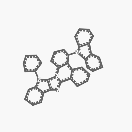 c1ccc(-n2c3ccccc3c3nc4c5ccccc5c5c(-n6c7ccccc7c7ccccc76)cccc5n4c32)cc1